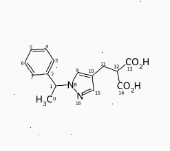 CC(c1ccccc1)n1cc(CC(C(=O)O)C(=O)O)cn1